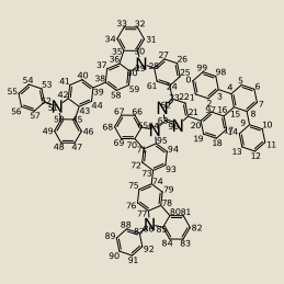 c1ccc(-c2cccc(-c3ccccc3)c2-c2cccc(-c3cc(-c4cccc(-n5c6ccccc6c6cc(-c7ccc8c(c7)c7ccccc7n8-c7ccccc7)ccc65)c4)nc(-n4c5ccccc5c5cc(-c6ccc7c(c6)c6ccccc6n7-c6ccccc6)ccc54)n3)c2)cc1